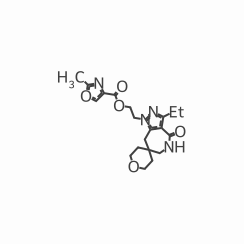 CCc1nn(CCOC(=O)c2coc(C)n2)c2c1C(=O)NCC1(CCOCC1)C2